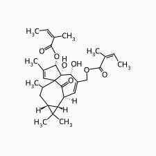 C/C=C(/C)C(=O)OCC1=C[C@@H]2C(=O)C3(C=C(C)[C@H](OC(=O)/C(C)=C\C)[C@@]3(O)[C@@H]1O)C(C)C[C@@H]1[C@H]2C1(C)C